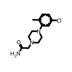 Cc1ccc(Cl)cc1N1CCN(CC(N)=O)CC1